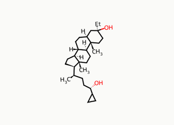 CC[C@]1(O)CC[C@@]2(C)[C@@H](CC[C@@H]3[C@@H]2CC[C@]2(C)[C@@H]([C@H](C)CC[C@H](O)C4CC4)CC[C@@H]32)C1